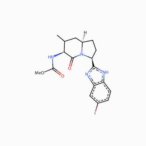 COC(=O)N[C@@H]1C(=O)N2[C@H](CC[C@H]2c2nc3cc(I)ccc3[nH]2)CC1C